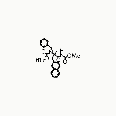 COC(=O)NC(=O)C(C)(Cc1ccc2ccccc2c1)N(Cc1ccccc1)C(=O)OC(C)(C)C